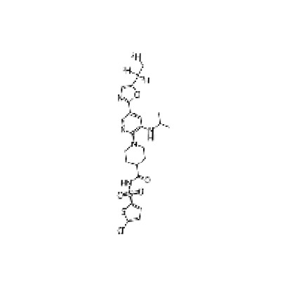 [3H]CC([3H])([3H])c1cnc(-c2cnc(N3CCC(C(=O)NS(=O)(=O)c4ccc(Cl)s4)CC3)c(NC(C)C)c2)o1